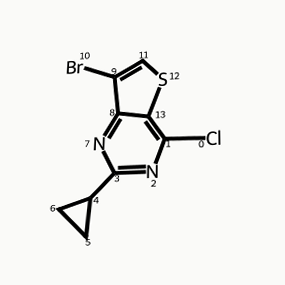 Clc1nc(C2CC2)nc2c(Br)csc12